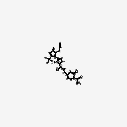 C#CCc1[nH]nc(C(F)(F)F)c1-c1cnc(C(=O)NCc2ccc(C(N)=O)c(Cl)c2)[nH]1